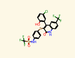 O=c1[nH]c2ccc(C(F)(F)F)cc2c(-c2cc(Cl)ccc2O)c1Sc1ccc(NS(=O)(=O)C(F)(F)F)cc1